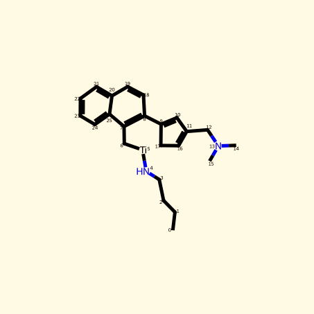 CCCC[NH][Ti][CH2]c1c(C2=CC(CN(C)C)=CC2)ccc2ccccc12